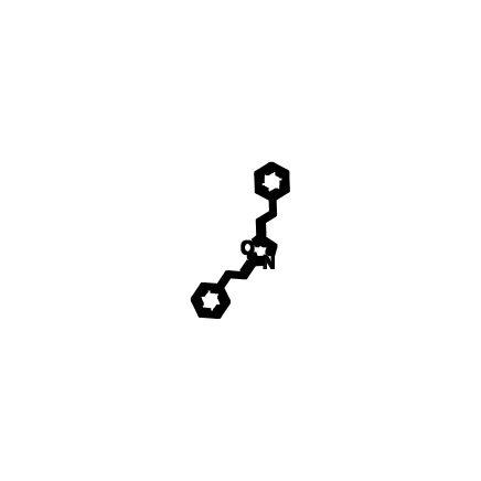 C(Cc1ccccc1)=c1cnc(=CCc2ccccc2)o1